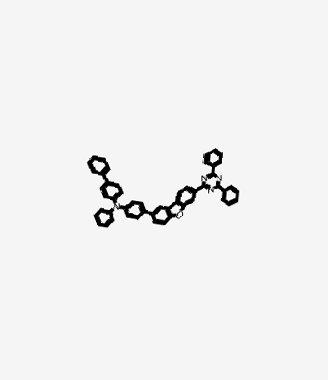 c1ccc(-c2ccc(N(c3ccccc3)c3ccc(-c4ccc5oc6cc(-c7nc(-c8ccccc8)nc(-c8ccccc8)n7)ccc6c5c4)cc3)cc2)cc1